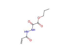 C=CC(=O)NNC(=O)C(=O)OCCC